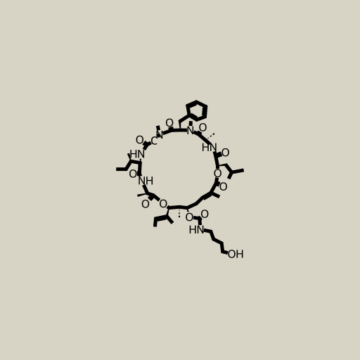 C/C=C(\C)[C@H]1OC(=O)[C@@H](C)NC(=O)[C@H]([C@H](C)CC)NC(=O)CN(C)C(=O)[C@@H](Cc2ccccc2)N(C)C(=O)[C@H](C)NC(=O)[C@@H](CC(C)C)OC(=O)/C(C)=C/C[C@H](OC(=O)NCCCCO)[C@@H]1C